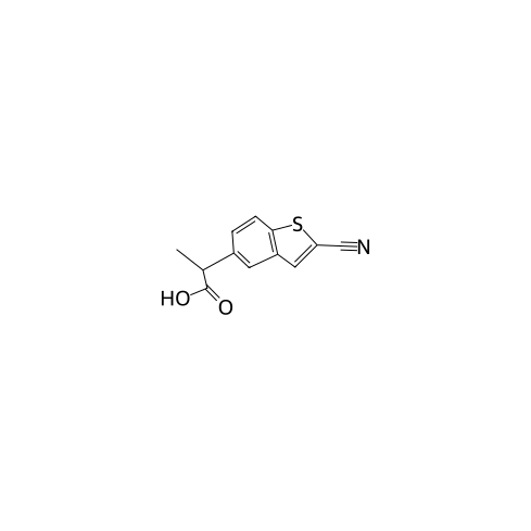 CC(C(=O)O)c1ccc2sc(C#N)cc2c1